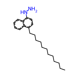 CCCCCCCCCCCCc1ccc(NN)c2ccccc12